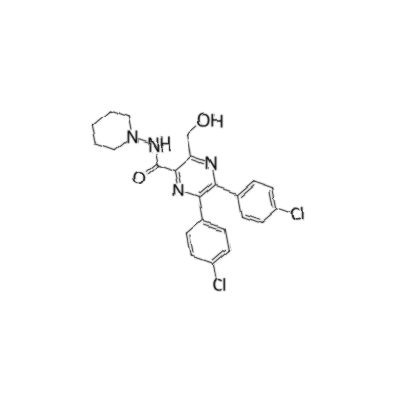 O=C(NN1CCCCC1)c1nc(-c2ccc(Cl)cc2)c(-c2ccc(Cl)cc2)nc1CO